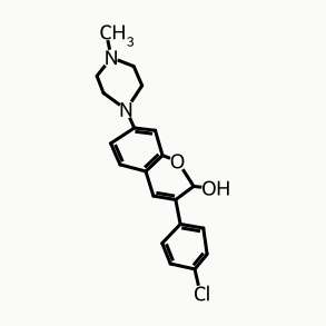 CN1CCN(c2ccc3c(c2)OC(O)C(c2ccc(Cl)cc2)=C3)CC1